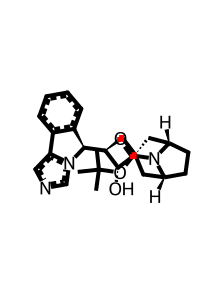 CC(C)(C)OC(=O)N1[C@@H]2CC[C@H]1C[C@]1(C[C@H]([C@@H]3c4ccccc4-c4cncn43)[C@H]1O)C2